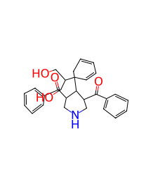 O=C(c1ccccc1)C1CNCC(C(=O)c2ccccc2)C1C1(C(CO)CO)C=CC=CC1